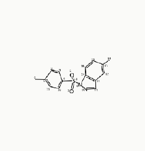 Cc1ccc(S(=O)(=O)n2ncc3cc(C)ccc32)cc1